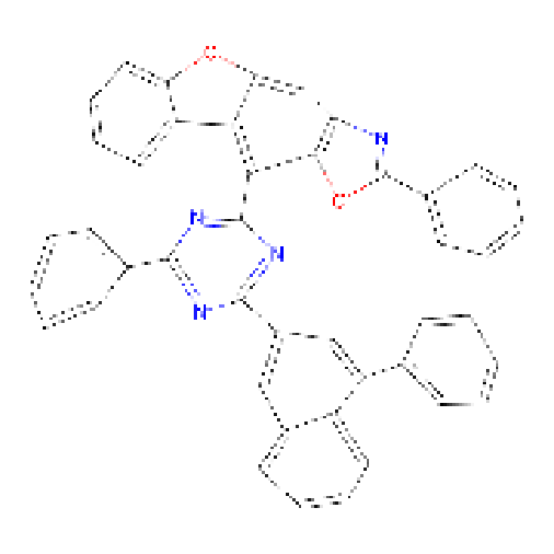 c1ccc(-c2nc(-c3cc(-c4ccccc4)c4ccccc4c3)nc(-c3c4oc(-c5ccccc5)nc4cc4oc5ccccc5c34)n2)cc1